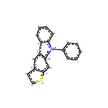 c1ccc(-n2c3ccccc3c3cc4ccsc4cc32)cc1